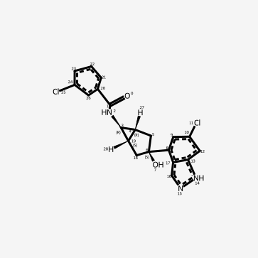 O=C(N[C@H]1[C@@H]2C[C@](O)(c3cc(Cl)cc4[nH]ncc34)C[C@@H]21)c1cccc(Cl)c1